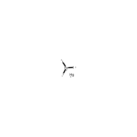 [Hg].[I][Fe]([I])[I]